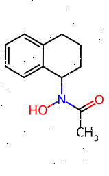 CC(=O)N(O)C1CCCc2ccccc21